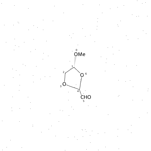 CO[C@H]1COC(C=O)O1